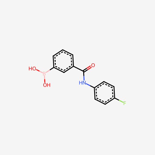 O=C(Nc1ccc(F)cc1)c1cccc(B(O)O)c1